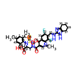 Cc1cc(C)c(N(C(CNC(=O)c2cn(C)c3c(F)c(CNc4nc5c([nH]4)CCCC5)c(F)cc3c2=O)C(=O)O)[SH](=O)=O)c(C)c1